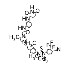 CCc1cc(N2C(=S)N(c3ccc(C#N)c(C(F)(F)F)c3)C(=O)C2(C)C)ccc1CCCN1CCN(CC(=O)Nc2cccc(NC3CCC(=O)NC3=O)c2)[C@@H](C)C1